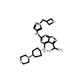 CC(C)c1nsc2nc(Nc3cnn(CC4COC4)c3)nc(N[C@H]3CC[C@H](N4CCOCC4)CC3)c12